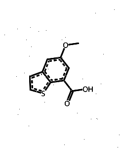 COc1cc(C(=O)O)c2sccc2c1